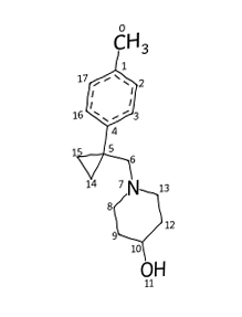 Cc1ccc(C2(CN3CCC(O)CC3)CC2)cc1